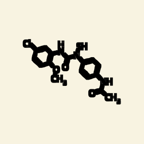 COc1ccc(Cl)cc1NC(=O)N(S)c1ccc(NC(C)=O)cc1